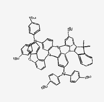 CC(C)(C)c1ccc(N(c2ccc(C(C)(C)C)cc2)c2ccc3c(c2)N(c2cccc4oc5ccccc5c24)c2cc(N(c4ccc(C(C)(C)C)cc4)c4ccc(C(C)(C)C)cc4)cc4c2B3c2cc(C(C)(C)C)cc3c5c(n-4c23)-c2ccccc2C5(C)C)cc1